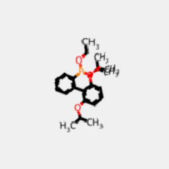 CCOP(OCC)c1ccccc1-c1c(OC(C)C)cccc1OC(C)C